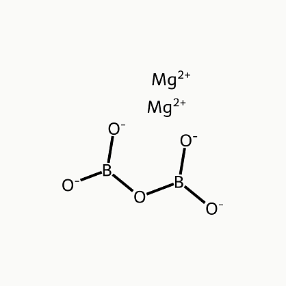 [Mg+2].[Mg+2].[O-]B([O-])OB([O-])[O-]